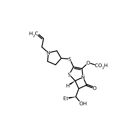 C=CCN1CCC(SC2=C(OC(=O)O)N3C(=O)C([C@@H](O)CC)[C@@H]3S2)C1